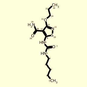 CCCCCNC(=O)Nc1snc(OCCC)c1C(N)=O